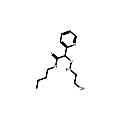 CCCCOC(=O)C(ONCCO)c1ccccn1